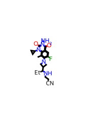 CCC(NCCC#N)C1CN(c2c(F)cc3c(=O)n(N)c(=O)n(C4CC4)c3c2C)C1